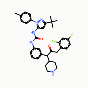 Cc1ccc(-n2nc(C(C)(C)C)cc2NC(=O)Nc2cccc(C(C(=O)Cc3ccc(F)cc3F)C3CCNCC3)c2)cc1